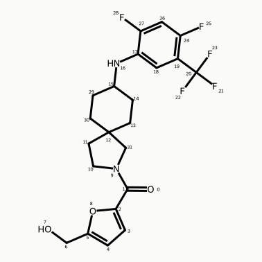 O=C(c1ccc(CO)o1)N1CCC2(CCC(Nc3cc(C(F)(F)F)c(F)cc3F)CC2)C1